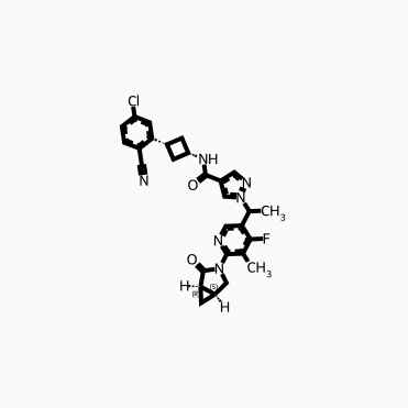 Cc1c(N2C[C@H]3C[C@H]3C2=O)ncc(C(C)n2cc(C(=O)N[C@H]3C[C@@H](c4cc(Cl)ccc4C#N)C3)cn2)c1F